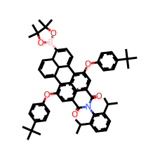 CC(C)c1cccc(C(C)C)c1N1C(=O)c2cc(Oc3ccc(C(C)(C)C)cc3)c3c4c(c(Oc5ccc(C(C)(C)C)cc5)cc(c24)C1=O)C1=CC=C(B2OC(C)(C)C(C)(C)O2)C2C=CC=C3C12